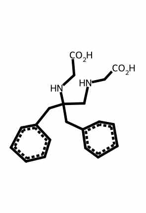 O=C(O)CNCC(Cc1ccccc1)(Cc1ccccc1)NCC(=O)O